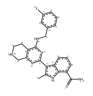 Cc1[nH]c2c(C(N)=O)cccc2c1-c1nc2c(c(NCc3cccc(F)c3)n1)CCNC2